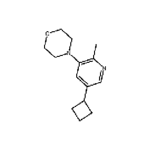 Cc1ncc(C2CCC2)cc1N1CCOCC1